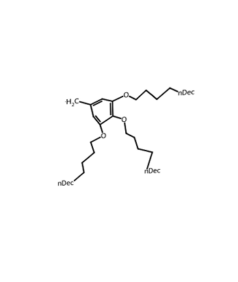 [CH2]c1cc(OCCCCCCCCCCCCCC)c(OCCCCCCCCCCCCCC)c(OCCCCCCCCCCCCCC)c1